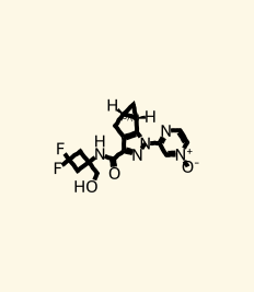 O=C(NC1(CO)CC(F)(F)C1)c1nn(-c2c[n+]([O-])ccn2)c2c1C[C@@H]1C[C@H]21